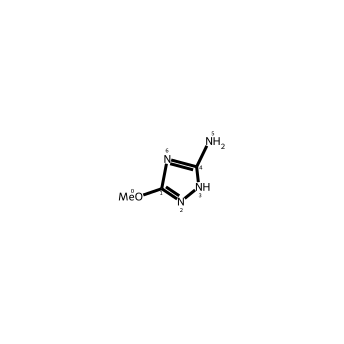 COc1n[nH]c(N)n1